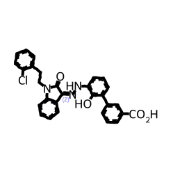 O=C(O)c1cccc(-c2cccc(N/N=C3\C(=O)N(CCc4ccccc4Cl)c4ccccc43)c2O)c1